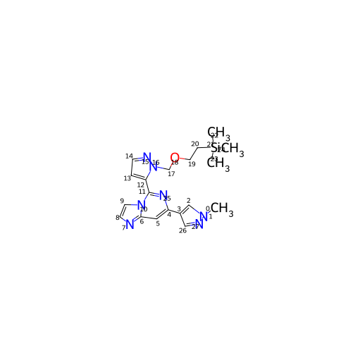 Cn1cc(-c2cc3nccn3c(-c3ccnn3COCC[Si](C)(C)C)n2)cn1